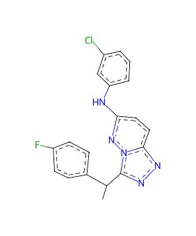 CC(c1ccc(F)cc1)c1nnc2ccc(Nc3cccc(Cl)c3)nn12